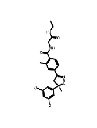 CCNC(=O)CNC(=O)c1ccc(C2=NO[C@](C)(c3cc(Cl)cc(Cl)c3)C2)cc1C